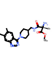 Cc1cc2ncnc(N3CCC(CNC(=O)[C@](N)(C(=O)OC(C)(C)C)C(C)C)CC3)c2cc1C